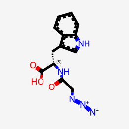 [N-]=[N+]=NCC(=O)N[C@@H](Cc1c[nH]c2ccccc12)C(=O)O